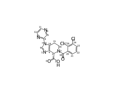 O=C(O)C1c2ncn(-c3cnccn3)c2CCN1C(=O)c1cccc(Cl)c1Cl